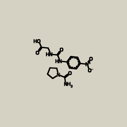 NC(=O)N1CCCC1.O=C(O)CNC(=O)Nc1ccc([N+](=O)[O-])cc1